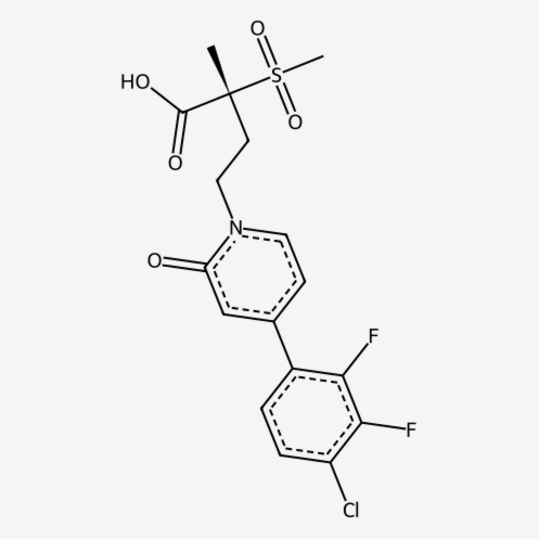 C[C@@](CCn1ccc(-c2ccc(Cl)c(F)c2F)cc1=O)(C(=O)O)S(C)(=O)=O